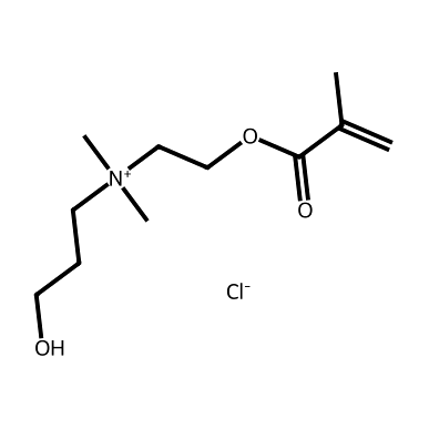 C=C(C)C(=O)OCC[N+](C)(C)CCCO.[Cl-]